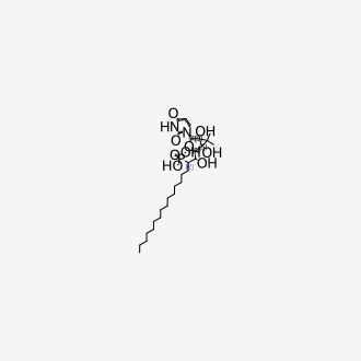 CCCCCCCCCCCCCC/C=C(/C(O)[C@H]1O[C@@H](n2ccc(=O)[nH]c2=O)[C@]2(O)C(C)(C)[C@]12O)P(=O)(O)O